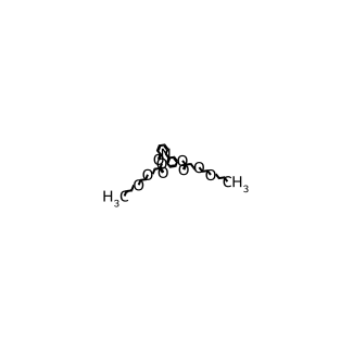 CCCCOCCOCCC(=O)Oc1ccc(OC(=O)CCOCCOCCCC)c(-n2ccccc2=O)c1